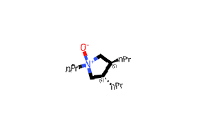 CCC[C@@H]1C[N+]([O-])(CCC)C[C@H]1CCC